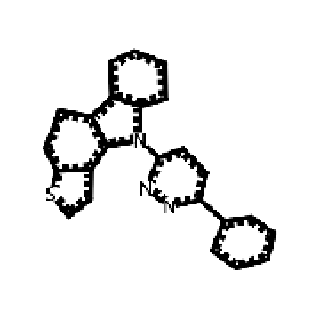 c1ccc(-c2ccc(-n3c4ccccc4c4ccc5sccc5c43)nn2)cc1